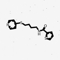 O=C(NCCCCSc1ccncc1)c1cccs1